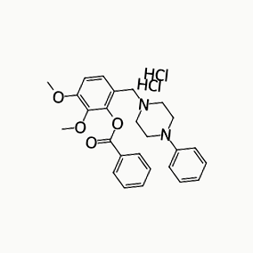 COc1ccc(CN2CCN(c3ccccc3)CC2)c(OC(=O)c2ccccc2)c1OC.Cl.Cl